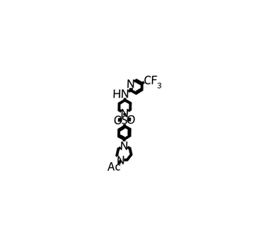 CC(=O)N1CCCN(c2ccc(S(=O)(=O)N3CCC(Nc4ccc(C(F)(F)F)cn4)CC3)cc2)CC1